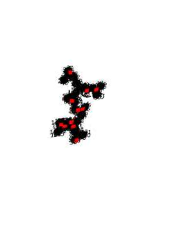 CC1(C)c2cc(N(c3ccccc3)c3ccccc3)ccc2-c2ccc(N(c3ccc(-c4ccc5c6ccccc6n(-c6ccccc6)c5c4)cc3)c3ccc(-n4c5ccccc5c5cc(-c6cccc(-n7c8ccccc8c8ccc(-c9ccc(N(c%10ccc(-n%11c%12ccccc%12c%12ccccc%12%11)cc%10)c%10ccc(N(c%11ccccc%11)c%11ccccc%11)c%11ccccc%10%11)cc9)cc87)c6)ccc54)cc3)cc21